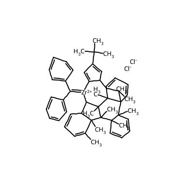 CCCC1C=C(C(C)(C)C)C=[C]1[Zr+2](=[C](c1ccccc1)c1ccccc1)[CH]1C2C=CC=C(C)C2(C)C2(C)C3(C)C=CC=CC3(C)C3(C)C=CC=CC3(C)C12C.[Cl-].[Cl-]